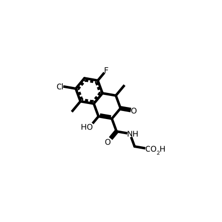 Cc1c(Cl)cc(F)c2c1C(O)=C(C(=O)NCC(=O)O)C(=O)C2C